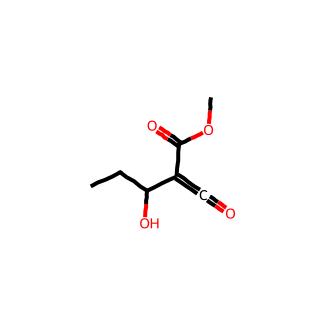 CCC(O)C(=C=O)C(=O)OC